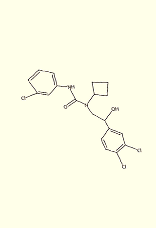 O=C(Nc1cccc(Cl)c1)N(CC(O)c1ccc(Cl)c(Cl)c1)C1CCC1